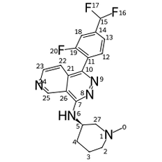 CN1CCC[C@@H](Nc2nnc(-c3ccc(C(F)F)cc3F)c3ccncc23)C1